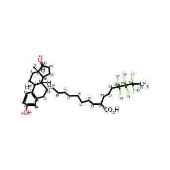 C[C@]12CC[C@@H]3c4ccc(O)cc4C[C@@H](CCCCCCCCC(CCCC(F)(F)C(F)(F)C(F)(F)C(F)(F)F)C(=O)O)[C@H]3[C@@H]1CCC2=O